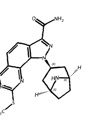 CSc1ncc2ccc3c(C(N)=O)nn([C@H]4C[C@H]5CC[C@@H](C4)N5)c3c2n1